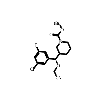 CC(C)(C)OC(=O)N1CCCC([C@@H](OCC#N)c2cc(F)cc(Cl)c2)C1